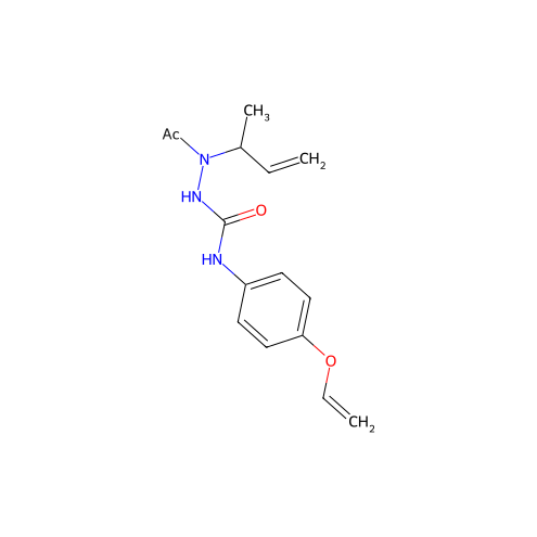 C=COc1ccc(NC(=O)NN(C(C)=O)C(C)C=C)cc1